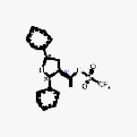 C/C(OS(=O)(=O)C(F)(F)F)=C1/C[C@H](c2ccccc2)O[C@@H]1c1ccccc1